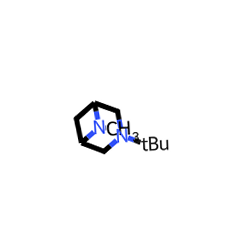 CN1C2CC1CN(C(C)(C)C)C2